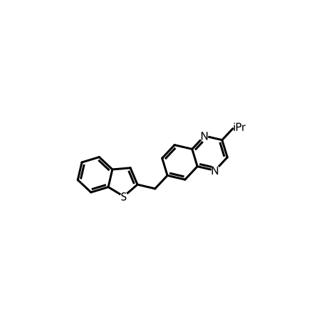 CC(C)c1cnc2cc(Cc3cc4ccccc4s3)ccc2n1